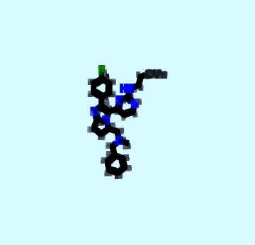 COCCNc1nccc(-c2c(-c3ccc(F)cc3)nc3n2C(CN(C)Cc2ccccc2)CC3)n1